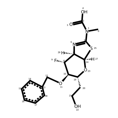 CN(C(=O)O)C1=N[C@@H]2[C@@H](F)[C@H](OCc3ccccc3)[C@@H](CCO)O[C@@H]2S1